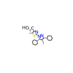 Cc1sc(-n2nc(-c3ccccc3)c(I)c2-c2ccccc2)nc1C(=O)O